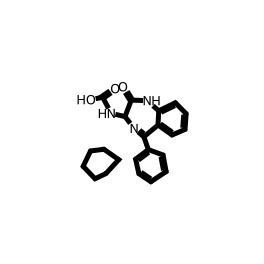 C1CCCCC1.O=C(O)NC1N=C(c2ccccc2)c2ccccc2NC1=O